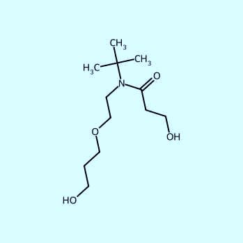 CC(C)(C)N(CCOCCCO)C(=O)CCO